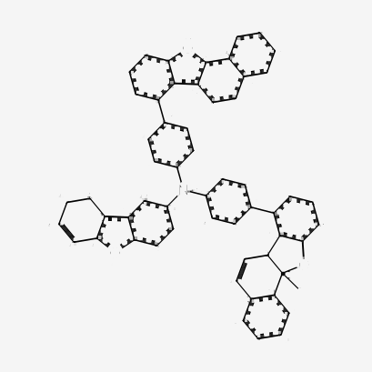 CC12Oc3cccc(-c4ccc(N(c5ccc(-c6cccc7oc8c9ccccc9ccc8c67)cc5)c5ccc6oc7c(c6c5)CCC=C7)cc4)c3C1C=Cc1ccccc12